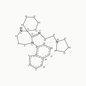 c1ccc2c(N3CCCNC4(CCCCC4)/C3=N/CCN3CCCC3)cccc2c1